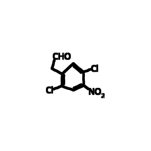 O=CCc1cc(Cl)c([N+](=O)[O-])cc1Cl